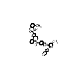 Cc1cnc(N2CC3(CCOC3)C2)c(NCc2ccc(C(=O)N3CCc4cc(C(=O)Nc5c(C)cccc5F)sc4-c4ccccc43)cc2)c1